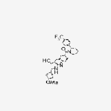 COc1ccc(CNc2nc3ccc(C(=O)N4CCCCC4c4ccc(C(F)(F)F)cc4)cc3cc2CO)cc1